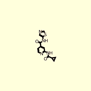 O=C(Nc1cncs1)c1ccnc(NC(=O)C2CC2)c1